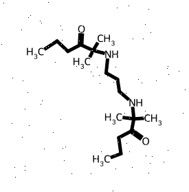 CCCC(=O)C(C)(C)NCCCNC(C)(C)C(=O)CCC